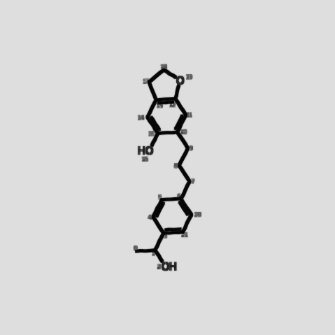 CC(O)c1ccc(CCCc2cc3c(cc2O)CCO3)cc1